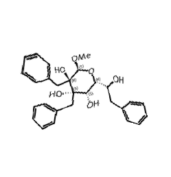 CO[C@H]1O[C@H](C(O)Cc2ccccc2)[C@H](O)[C@@](O)(Cc2ccccc2)[C@]1(O)Cc1ccccc1